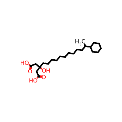 CC(CCCCCCCCCCC(O)(CC(=O)O)CC(=O)O)C1CCCCC1